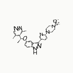 Cc1cnnc(C)c1[C@H](C)Oc1ccc2[nH]nc(-c3ccc(N4CCN([S+](C)[O-])CC4)nc3)c2c1